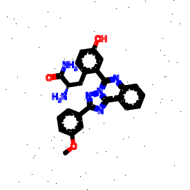 COc1cccc(-c2nc3c4ccccc4nc(-c4cc(O)ccc4C[C@H](N)C(N)=O)n3n2)c1